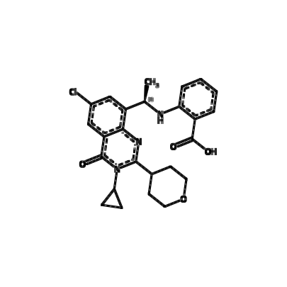 C[C@@H](Nc1ccccc1C(=O)O)c1cc(Cl)cc2c(=O)n(C3CC3)c(C3CCOCC3)nc12